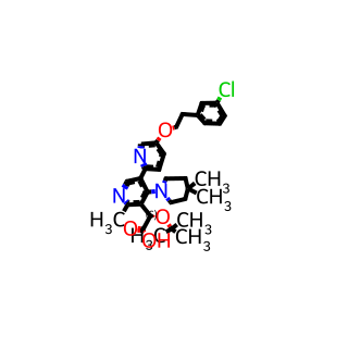 Cc1ncc(-c2ccc(OCCc3cccc(Cl)c3)cn2)c(N2CCC(C)(C)CC2)c1[C@H](OC(C)(C)C)C(=O)O